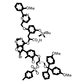 COc1ccc(C(OC[C@H](COS(=O)(=O)c2ccc(C)cc2)Oc2ccc(-c3c(Br)oc4ncnc(OC(Cc5cc(O[Si](C)(C)C(C)(C)C)ccc5OCc5ccnc(-c6ccccc6OC)n5)C(=O)O)c34)c(C)c2Cl)(c2ccccc2)c2ccc(OC)cc2)cc1